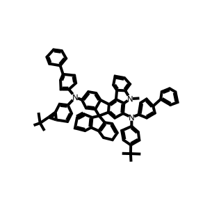 Cn1c2ccccc2c2c3c(cc(N(c4ccc(-c5ccccc5)cc4)c4ccc(C(C)(C)C)cc4)c21)C1(C2=C(CCC=C2)c2ccc#cc21)c1cc(N(C2=CC4=C(C(C)(C)C)C4C=C2)c2ccc(-c4ccccc4)cc2)ccc1-3